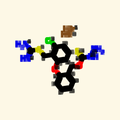 Br.Br.N=C(N)SCc1c(Cl)cccc1Oc1ccccc1COC(=S)NN